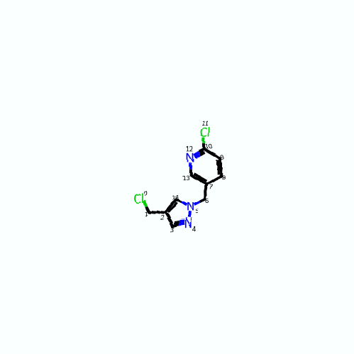 ClCc1cnn(Cc2ccc(Cl)nc2)c1